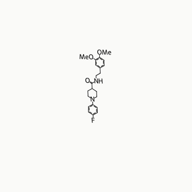 COc1ccc(CCNC(=O)C2CCN(c3ccc(F)cc3)CC2)cc1OC